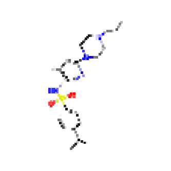 CCCN1CCN(c2cc(C)c(NS(=O)(=O)c3ccc(C(C)C)cc3)cn2)CC1